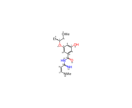 CC[C@@H](COC)Oc1cc(O)cc(C(=O)NC(=N)/C=C\NC)c1